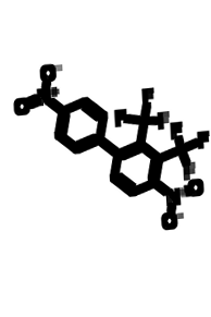 O=[N+]([O-])c1ccc(-c2ccc([N+](=O)[O-])c(C(F)(F)F)c2C(F)(F)F)cc1